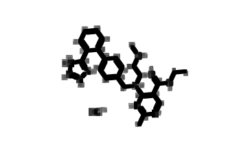 CCOC(=O)c1cnc(C)nc1N(CCOC)Cc1ccc(-c2ccccc2-c2nnn[nH]2)cc1.Cl